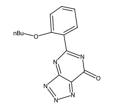 CCCCOc1ccccc1C1=NC(=O)C2=NN=NC2=N1